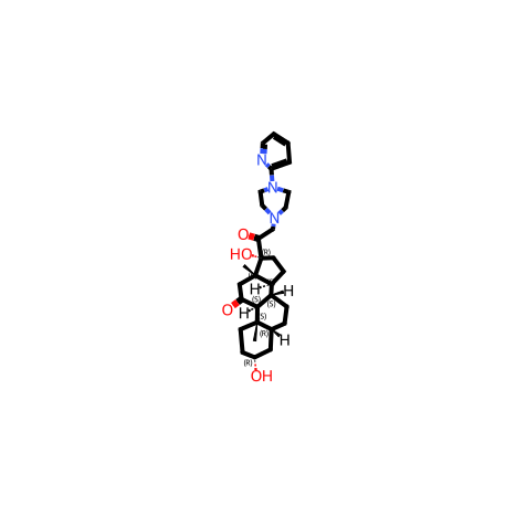 C[C@]12CC[C@@H](O)C[C@H]1CC[C@@H]1[C@@H]2C(=O)C[C@@]2(C)[C@H]1CC[C@]2(O)C(=O)CN1CCN(c2ccccn2)CC1